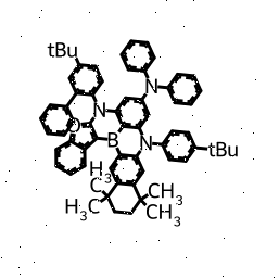 CC(C)(C)c1ccc(N2c3cc4c(cc3B3c5c2cc(N(c2ccccc2)c2ccccc2)cc5N(c2ccc(C(C)(C)C)cc2-c2ccccc2)c2oc5ccccc5c23)C(C)(C)CCC4(C)C)cc1